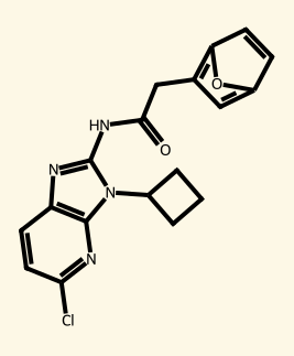 O=C(Cc1cc2ccc1o2)Nc1nc2ccc(Cl)nc2n1C1CCC1